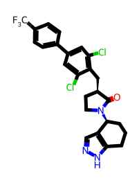 O=C1[C@H](Cc2c(Cl)cc(-c3ccc(C(F)(F)F)cc3)cc2Cl)CCN1[C@H]1CCCc2[nH]ncc21